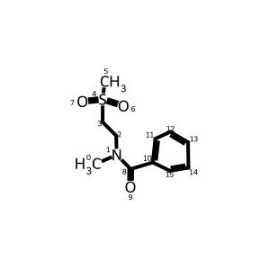 CN(CCS(C)(=O)=O)C(=O)c1ccccc1